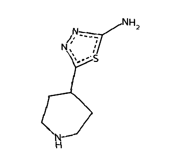 Nc1nnc(C2CCNCC2)s1